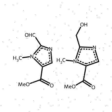 COC(=O)c1cnc(C=O)n1C.COC(=O)c1cnc(CO)n1C